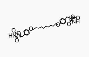 O=c1[nH]c(=O)n(Cc2ccc(OCCCCCCCCCCOc3ccc(Cn4oc(=O)[nH]c4=O)cc3)cc2)o1